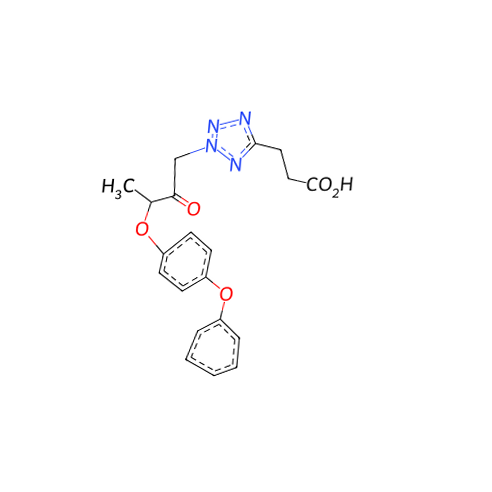 CC(Oc1ccc(Oc2ccccc2)cc1)C(=O)Cn1nnc(CCC(=O)O)n1